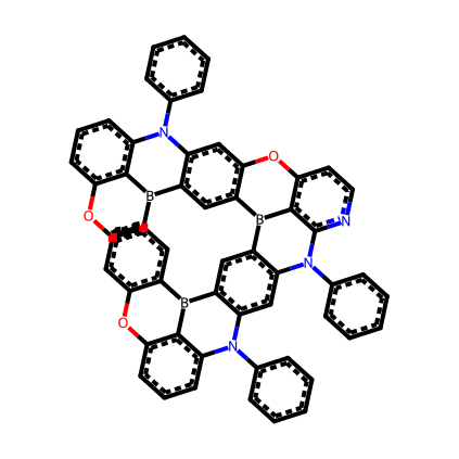 c1ccc(N2c3cc4c(cc3B3c5ccccc5Oc5cccc2c53)B2c3cc5c(cc3N(c3ccccc3)c3nccc(c32)O4)N(c2ccccc2)c2cccc3c2B5c2ccccc2O3)cc1